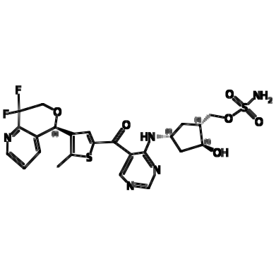 Cc1sc(C(=O)c2cncnc2N[C@@H]2C[C@H](COS(N)(=O)=O)[C@@H](O)C2)cc1[C@@H]1OCC(F)(F)c2ncccc21